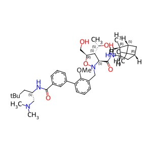 COc1c(CN2O[C@@H](CO)[C@H]([C@H](C)O)[C@H]2C(=O)N[C@H]2C[C@H]3C[C@@H]([C@H]2C)C3(C)C)cccc1-c1cccc(C(=O)N[C@H](CN(C)C)CC(C)(C)C)c1